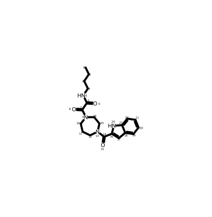 CCCCNC(=O)C(=O)N1CCCN(C(=O)c2cc3ccccc3[nH]2)CC1